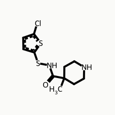 CC1(C(=O)NSc2ccc(Cl)s2)CCNCC1